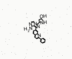 Nc1nccn2c(C3CC(O)CN3)nc(-c3ccc4ccc(-c5ccccc5)nc4c3)c12